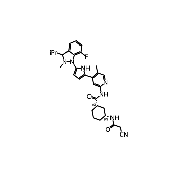 Cc1cnc(NC(=O)[C@H]2CCC[C@@H](NC(=O)CC#N)C2)cc1-c1ccc(N2c3c(F)cccc3C(C(C)C)N2C)[nH]1